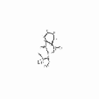 CCN(C)C(CC(C)C)CN(C)C1CCCCC1N(C)C